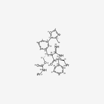 Cc1ncoc1-c1cccc([C@@H](COC(=O)NC(C)C)N2C(=N)N[C@](CC(C)C)(c3ccccc3)C2=O)c1